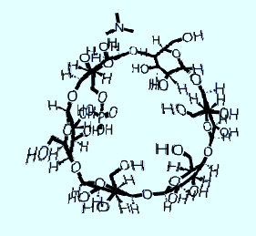 CN(C)C.O=P(O)(O)OC[C@H]1O[C@@H]2O[C@H]3[C@H](O)[C@@H](O)[C@@H](O[C@H]4[C@H](O)[C@@H](O)[C@@H](O[C@H]5[C@H](O)[C@@H](O)[C@@H](O[C@H]6[C@H](O)[C@@H](O)[C@@H](O[C@H]7[C@H](O)[C@@H](O)[C@@H](O[C@H]1[C@H](O)[C@H]2O)O[C@@H]7CO)O[C@@H]6CO)O[C@@H]5CO)O[C@@H]4CO)O[C@@H]3CO